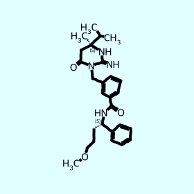 COCCC[C@H](NC(=O)c1cccc(CN2C(=N)N[C@](C)(C(C)C)CC2=O)c1)c1ccccc1